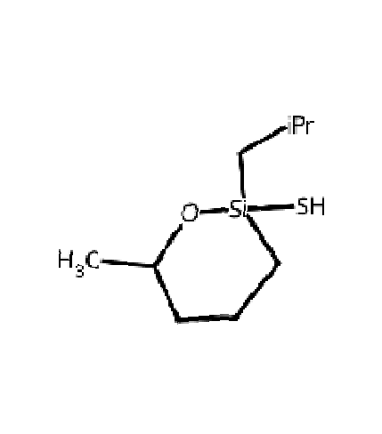 CC(C)C[Si]1(S)CCCC(C)O1